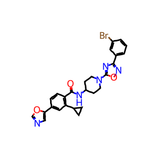 O=C(NC1CCN(c2nc(-c3cccc(Br)c3)no2)CC1)c1ccc(-c2cnco2)cc1C1CC1